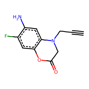 C#CCN1CC(=O)Oc2cc(F)c(N)cc21